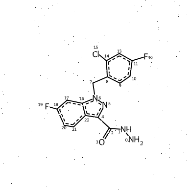 NNC(=O)c1nn(Cc2ccc(F)cc2Cl)c2cc(F)ccc12